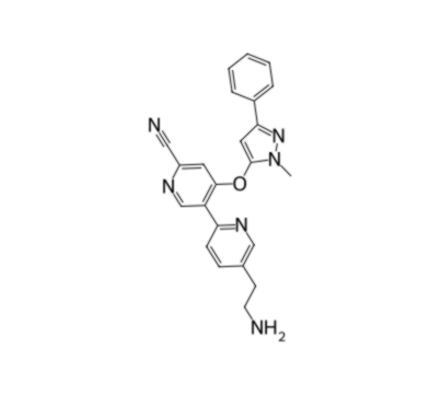 Cn1nc(-c2ccccc2)cc1Oc1cc(C#N)ncc1-c1ccc(CCN)cn1